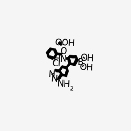 Nc1nncc2cc(-c3cc(B(O)O)ccc3NC(=O)c3ccccc3Cl)ccc12.O=CO